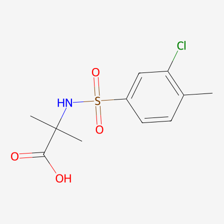 Cc1ccc(S(=O)(=O)NC(C)(C)C(=O)O)cc1Cl